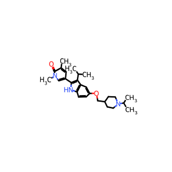 Cc1cc(-c2[nH]c3ccc(OCC4CCN(C(C)C)CC4)cc3c2C(C)C)cn(C)c1=O